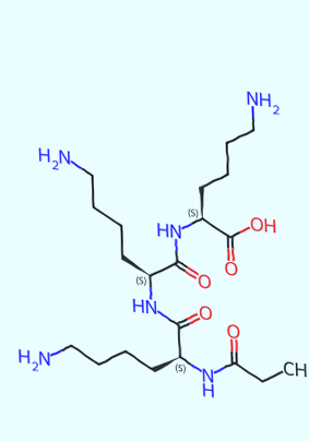 CCC(=O)N[C@@H](CCCCN)C(=O)N[C@@H](CCCCN)C(=O)N[C@@H](CCCCN)C(=O)O